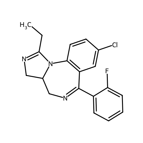 CCC1=NCC2CN=C(c3ccccc3F)c3cc(Cl)ccc3N12